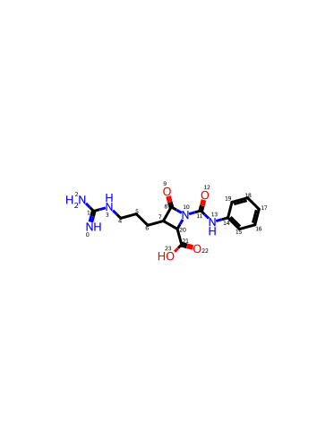 N=C(N)NCCCC1C(=O)N(C(=O)Nc2ccccc2)C1C(=O)O